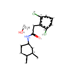 CC1CCC(NC(=O)Cc2c(Cl)cccc2Cl)CC1C.O=C(O)O